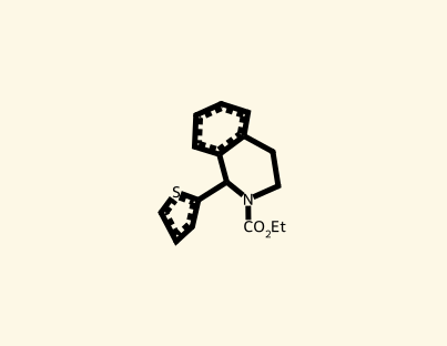 CCOC(=O)N1CCc2ccccc2C1c1cccs1